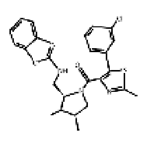 Cc1nc(C(=O)N2C[C@@H](C)C(C)[C@H]2CNc2nc3ccccc3o2)c(-c2cccc(Cl)c2)s1